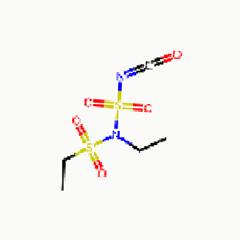 CCN(S(=O)(=O)CC)S(=O)(=O)N=C=O